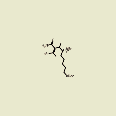 Br.CCCCCCCCCCCCCCCCC(C)C(C(N)=O)=C(C)CCC.N